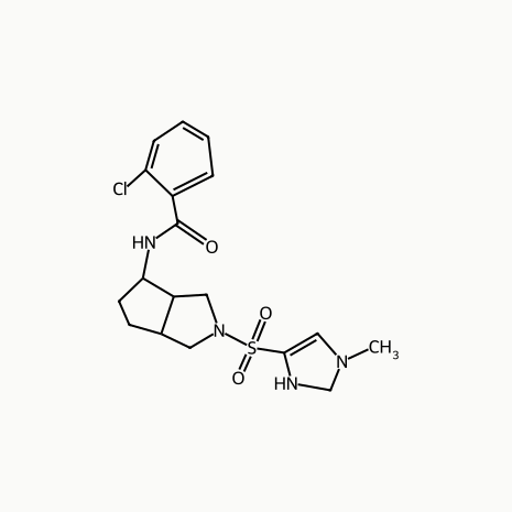 CN1C=C(S(=O)(=O)N2CC3CCC(NC(=O)c4ccccc4Cl)C3C2)NC1